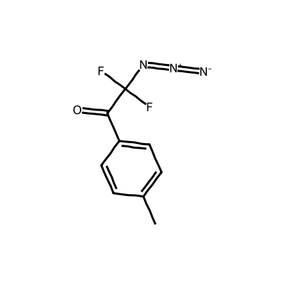 Cc1ccc(C(=O)C(F)(F)N=[N+]=[N-])cc1